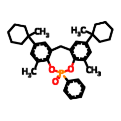 Cc1cc(C2(C)CCCCC2)cc2c1OP(=O)(c1ccccc1)Oc1c(C)cc(C3(C)CCCCC3)cc1C2